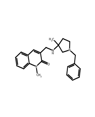 Cn1c(=O)c(CNC2(C)CCN(Cc3ccccc3)C2)cc2ccccc21